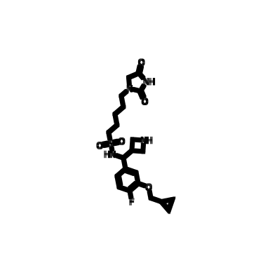 O=C1CN(CCCCCS(=O)(=O)NC(c2ccc(F)c(OCC3CC3)c2)C2CNC2)C(=O)N1